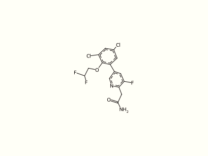 NC(=O)Cc1ncc(-c2cc(Cl)cc(Cl)c2OCC(F)F)cc1F